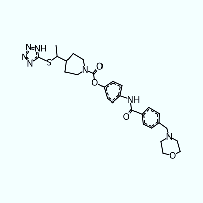 CC(Sc1nnn[nH]1)C1CCN(C(=O)Oc2ccc(NC(=O)c3ccc(CN4CCOCC4)cc3)cc2)CC1